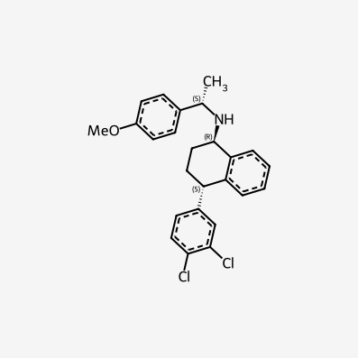 COc1ccc([C@H](C)N[C@@H]2CC[C@@H](c3ccc(Cl)c(Cl)c3)c3ccccc32)cc1